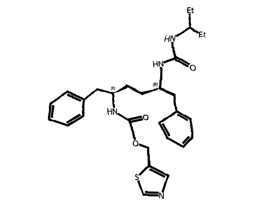 CCC(CC)NC(=O)N[C@H](CC[C@H](Cc1ccccc1)NC(=O)OCc1cncs1)Cc1ccccc1